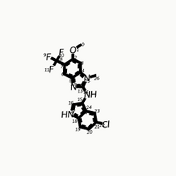 COc1cc2c(cc1C(F)(F)F)nc(Nc1c[nH]c3ccc(Cl)cc13)n2C